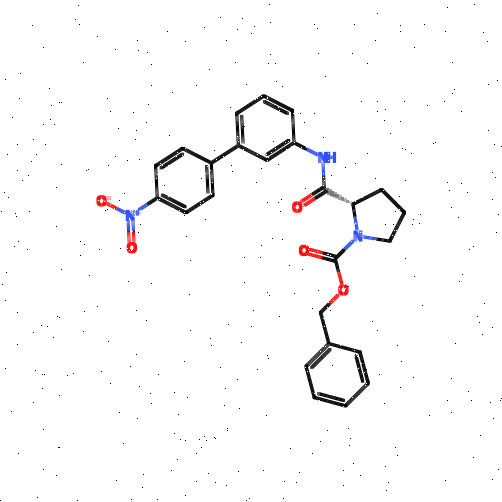 O=C(Nc1cccc(-c2ccc([N+](=O)[O-])cc2)c1)[C@@H]1CCCN1C(=O)OCc1ccccc1